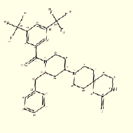 O=C1CC2(CCN1)CCN(C1CCN(C(=O)c3cc(C(F)(F)F)cc(C(F)(F)F)c3)C(Cc3ccccc3)C1)CC2